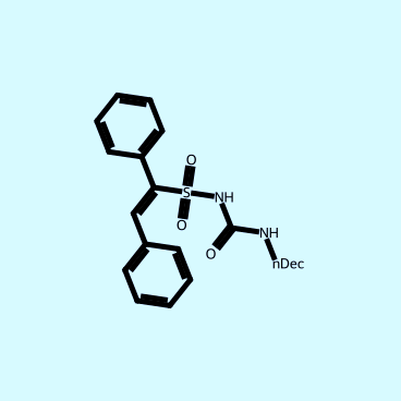 CCCCCCCCCCNC(=O)NS(=O)(=O)C(=Cc1ccccc1)c1ccccc1